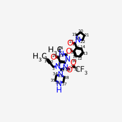 CC#CCN1c2c(nc(Oc3ccccc3C(=O)N3CCCC3)n(C)c2=O)N(OC(=O)C(F)(F)F)C1N1CCNCC1